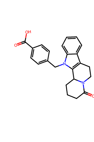 O=C(O)c1ccc(Cn2c3c(c4ccccc42)CCN2C(=O)CCCC32)cc1